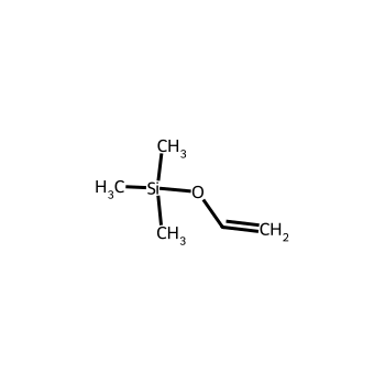 C=CO[Si](C)(C)C